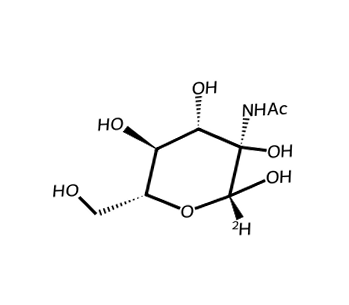 [2H][C@@]1(O)O[C@H](CO)[C@@H](O)[C@H](O)[C@]1(O)NC(C)=O